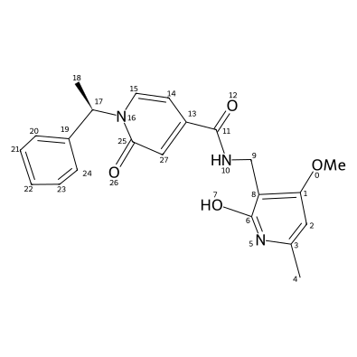 COc1cc(C)nc(O)c1CNC(=O)c1ccn([C@H](C)c2ccccc2)c(=O)c1